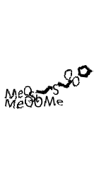 CO[Si](CCCSCCC(=O)OC1C=CCC1)(OC)OC